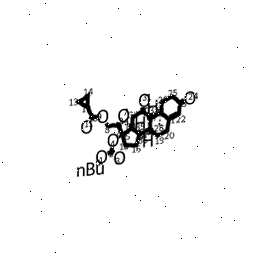 CCCCOC(=O)O[C@]1(C(=O)COC(=O)C2CC2)CC[C@H]2[C@@H]3CCC4=CC(=O)CC[C@]4(C)[C@H]3C(=O)C[C@@]21C